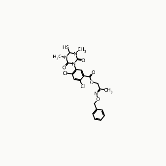 CC(COC(=O)c1cc(N2C(=O)N(C)C(S)N(C)C2=O)c(Cl)cc1Cl)=NOCc1ccccc1